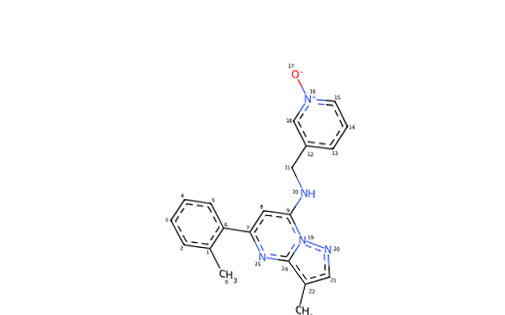 Cc1ccccc1-c1cc(NCc2ccc[n+]([O-])c2)n2ncc(C)c2n1